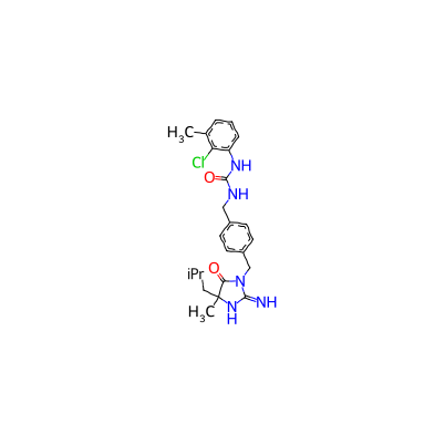 Cc1cccc(NC(=O)NCc2ccc(CN3C(=N)NC(C)(CC(C)C)C3=O)cc2)c1Cl